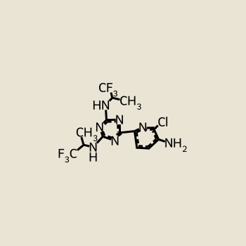 CC(Nc1nc(NC(C)C(F)(F)F)nc(-c2ccc(N)c(Cl)n2)n1)C(F)(F)F